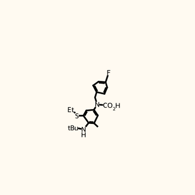 CCSc1cc(N(Cc2ccc(F)cc2)C(=O)O)cc(C)c1NC(C)(C)C